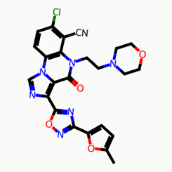 Cc1ccc(-c2noc(-c3ncn4c3c(=O)n(CCN3CCOCC3)c3c(C#N)c(Cl)ccc34)n2)o1